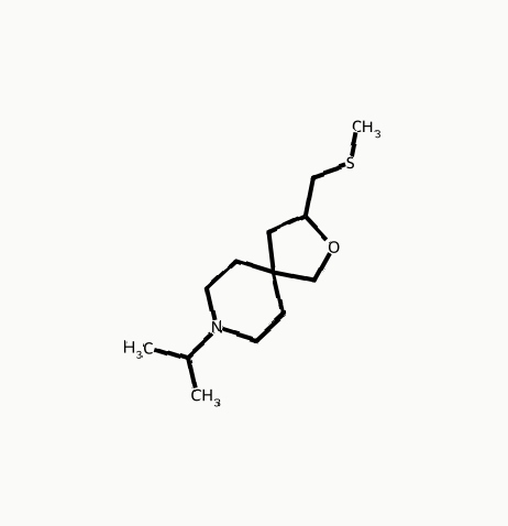 CSCC1CC2(CCN(C(C)C)CC2)CO1